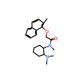 Cc1ccc2ccccc2c1OCC(=O)N(C)C1CCCCC1N(C)C